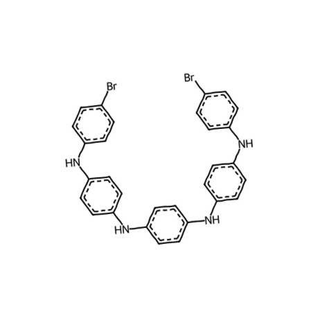 Brc1ccc(Nc2ccc(Nc3ccc(Nc4ccc(Nc5ccc(Br)cc5)cc4)cc3)cc2)cc1